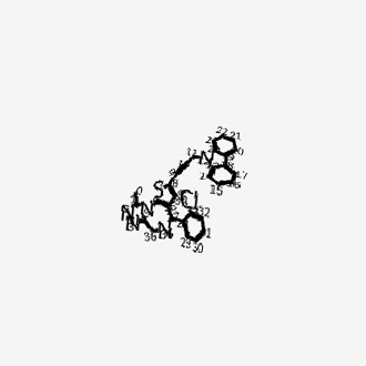 Cc1nnc2n1-c1sc(C#CCn3c4ccccc4c4ccccc43)cc1C(c1ccccc1Cl)=NC2